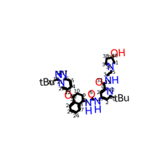 CC(C)(C)c1cc(NC(=O)N[C@H]2CC[C@@H](Oc3ccc4nnc(C(C)(C)C)n4c3)c3ccccc32)cc(C(=O)NCCN2CCC(O)C2)n1